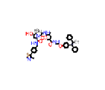 CC/C(=C(\c1ccccc1)c1ccc(OCCNC(=O)C(C)CC(C)C(=O)N[C@H](C(=O)N2C[C@H](O)C[C@H]2C(=O)NCc2ccc(-c3scnc3C)cc2)C(C)(C)C)cc1)c1ccccc1